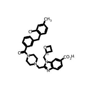 Cc1ccc(Cc2cccc(C(=O)N3CCN(Cc4nc5ccc(C(=O)O)cc5n4C[C@@H]4CCO4)CC3)c2)c(Cl)c1